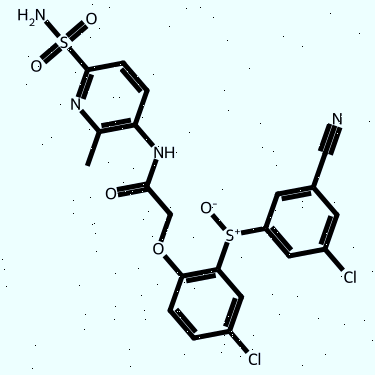 Cc1nc(S(N)(=O)=O)ccc1NC(=O)COc1ccc(Cl)cc1[S+]([O-])c1cc(Cl)cc(C#N)c1